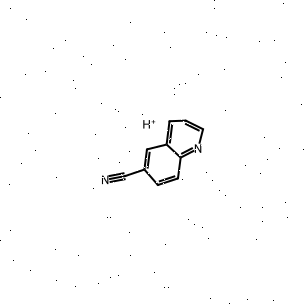 N#Cc1ccc2ncccc2c1.[H+]